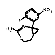 NC1=NC2(c3cc([N+](=O)[O-])ccc3F)CC2CCS1